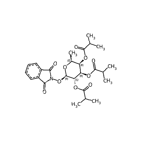 CC(C)C(=O)O[C@H]1[C@H](OC(=O)C(C)C)[C@@H](ON2C(=O)c3ccccc3C2=O)O[C@@H](C)[C@H]1OC(=O)C(C)C